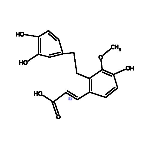 COc1c(O)ccc(/C=C/C(=O)O)c1CCc1ccc(O)c(O)c1